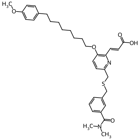 COc1ccc(CCCCCCCCOc2ccc(CSCc3cccc(C(=O)N(C)C)c3)nc2C=CC(=O)O)cc1